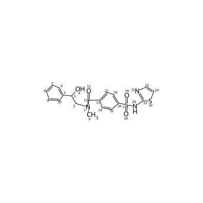 CN(CC(O)c1ccccc1)C(=O)c1ccc(S(=O)(=O)Nc2nccs2)cc1